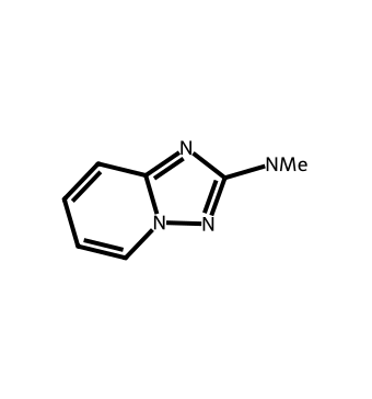 CNc1nc2ccccn2n1